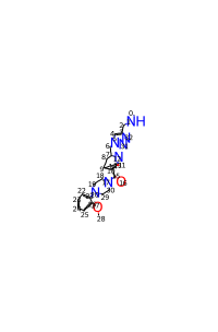 CNCc1cn(CC2CC3CCN2CC3C(=O)N2CCN(c3ccccc3OC)CC2)nn1